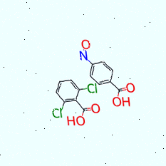 O=C(O)c1c(Cl)cccc1Cl.O=Nc1ccc(C(=O)O)cc1